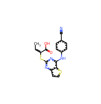 CC=C(Sc1nc(Nc2ccc(C#N)cc2)c2sccc2n1)C(=O)O